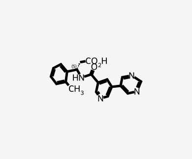 Cc1ccccc1[C@H](CC(=O)O)NC(=O)c1cncc(-c2cncnc2)c1